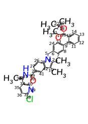 Cc1c(C)n(Cc2ccc(-c3ccccc3C(=O)OC(C)(C)C)cc2)c2ccc(C(=O)N[C@H](C)c3ccc(Cl)nc3)cc12